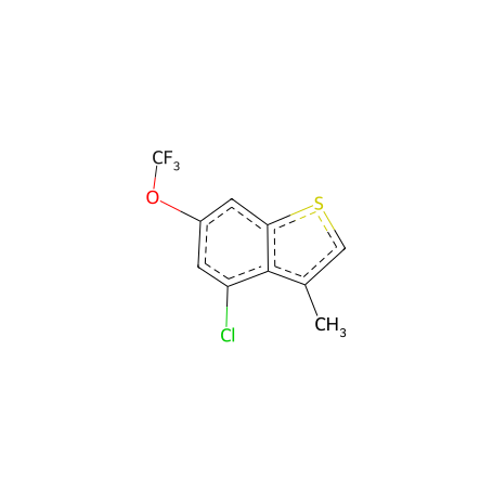 Cc1csc2cc(OC(F)(F)F)cc(Cl)c12